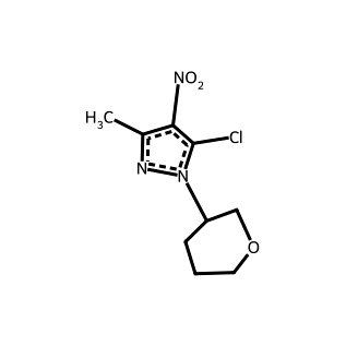 Cc1nn(C2CCCOC2)c(Cl)c1[N+](=O)[O-]